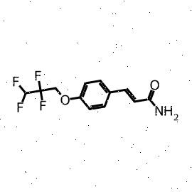 NC(=O)C=Cc1ccc(OCC(F)(F)C(F)F)cc1